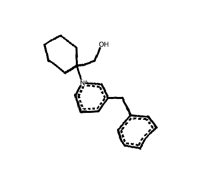 OCC1([n+]2cccc(Cc3ccccc3)c2)CCCCC1